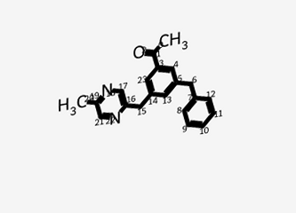 CC(=O)c1cc(Cc2ccccc2)cc(Cc2cnc(C)cn2)c1